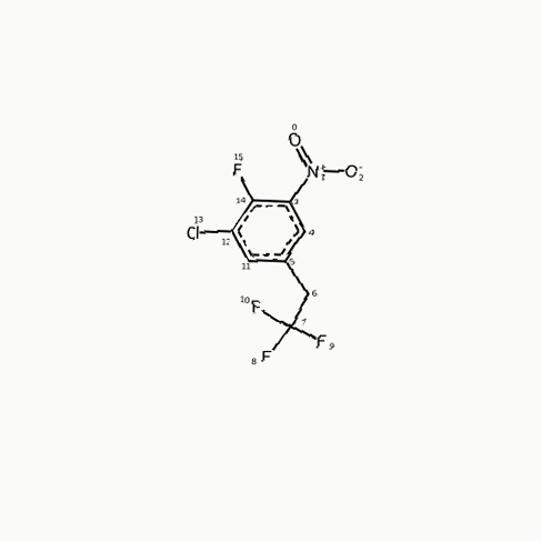 O=[N+]([O-])c1cc(CC(F)(F)F)cc(Cl)c1F